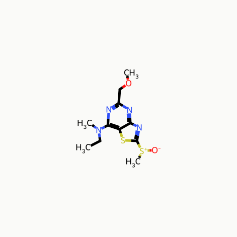 CCN(C)c1nc(COC)nc2nc([S+](C)[O-])sc12